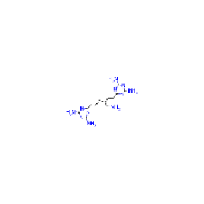 NCC(CCCc1nc(N)nc(N)n1)CCc1nc(N)nc(N)n1